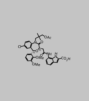 COc1cccc([C@H]2O[C@H](CC(=O)Nc3cccc4cc(C(=O)O)[nH]c34)C(=O)N(CC(C)(C)COC(C)=O)c3ccc(Cl)cc32)c1OC